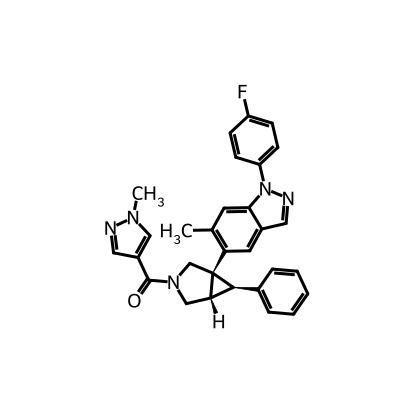 Cc1cc2c(cnn2-c2ccc(F)cc2)cc1[C@]12CN(C(=O)c3cnn(C)c3)C[C@H]1[C@@H]2c1ccccc1